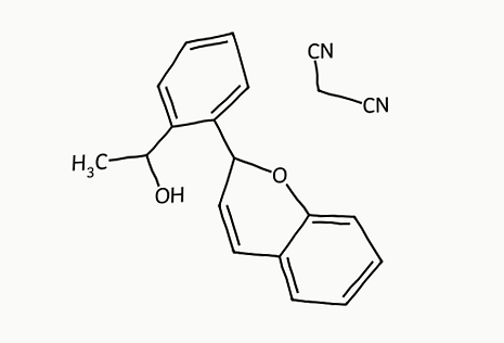 CC(O)c1ccccc1C1C=Cc2ccccc2O1.N#CCC#N